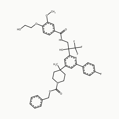 COc1cc(C(=O)NCC(O)(c2cc(C3(C)CCN(C(=O)OCc4ccccc4)CC3)cc(-c3ccc(F)cc3)n2)C(F)(F)F)ccc1OCCO